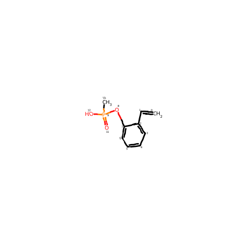 C=Cc1ccccc1OP(C)(=O)O